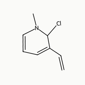 C=CC1=CC=CN(C)C1Cl